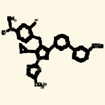 COc1cccc(-c2cccc(-c3nn(-c4nc(C(=O)O)cs4)c(C4CC4)c3Cc3ccc([S+](N)[O-])cc3F)c2)c1